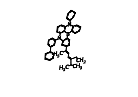 C=C/C(=C\C=C(/C)c1ccc2c(c1)N(c1cccc(-c3ccccc3)c1)c1cccc3c1B2c1ccccc1N3c1ccccc1)C(C)C